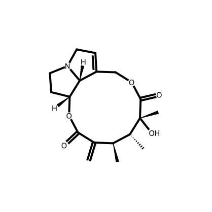 C=C1C(=O)O[C@@H]2CCN3CC=C(COC(=O)[C@](C)(O)[C@H](C)[C@H]1C)[C@H]23